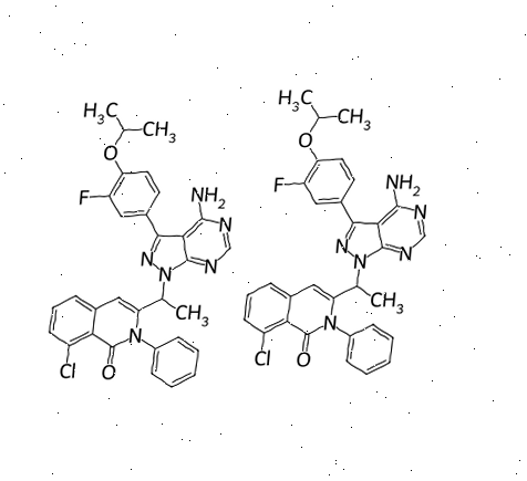 CC(C)Oc1ccc(-c2nn(C(C)c3cc4cccc(Cl)c4c(=O)n3-c3ccccc3)c3ncnc(N)c23)cc1F.CC(C)Oc1ccc(-c2nn(C(C)c3cc4cccc(Cl)c4c(=O)n3-c3ccccc3)c3ncnc(N)c23)cc1F